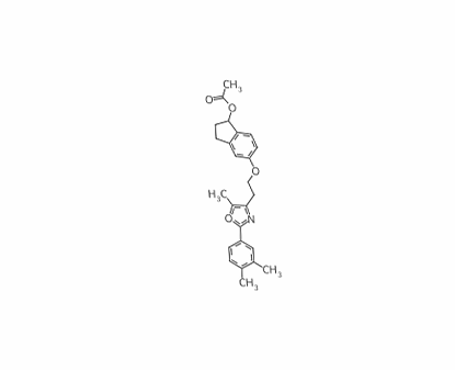 CC(=O)OC1CCc2cc(OCCc3nc(-c4ccc(C)c(C)c4)oc3C)ccc21